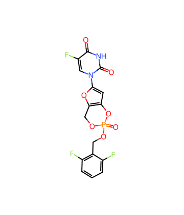 O=c1[nH]c(=O)n(-c2cc3c(o2)COP(=O)(OCc2c(F)cccc2F)O3)cc1F